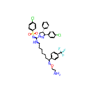 NCCO/N=C(/CCCCCCN/C(=N/S(=O)(=O)c1ccc(Cl)cc1)N1C[C@H](c2ccccc2)C(c2ccc(Cl)cc2)=N1)c1ccc(C(F)(F)F)cc1